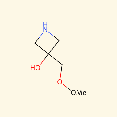 COOCC1(O)CNC1